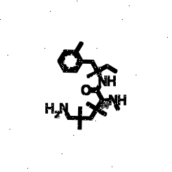 CC[C@@](C)(Cc1ccccc1C)NC(=O)[C@@H](NC)C(C)(C)CC(C)(C)CN